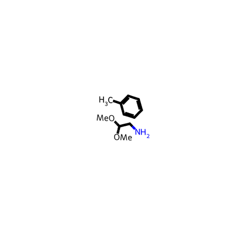 COC(CN)OC.Cc1ccccc1